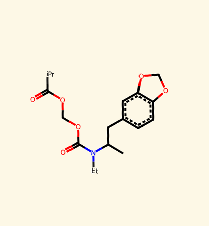 CCN(C(=O)OCOC(=O)C(C)C)C(C)Cc1ccc2c(c1)OCO2